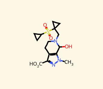 Cn1nc(C(=O)O)c2c1C(O)N(CC1(S(=O)(=O)C3CC3)CC1)CC2